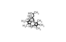 Cc1c(C)c(C)[n]([Hf]([CH2]C(C)(O)CC(C)O)[n]2c(C)c(C)c(C)c2C)c1C